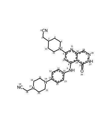 N#CCC1CCN(c2nc(Nc3ccc(N4CCN(CC#N)CC4)cc3)c3c(=O)[nH]ncc3n2)CC1